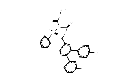 CC(C)(C)OC(=O)N(C(=N)NCc1cnc(-c2cccc(Cl)c2)c(-c2ccc(Cl)cc2)c1)S(=O)(=O)c1ccccc1